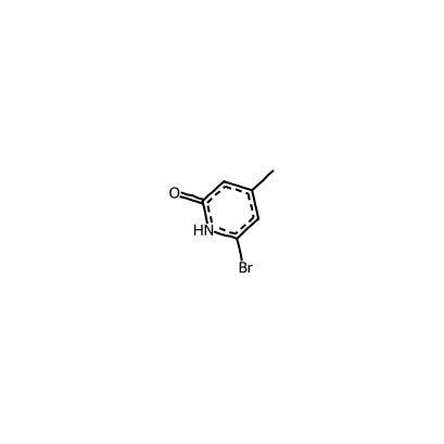 Cc1cc(Br)[nH]c(=O)c1